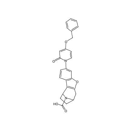 O=C(O)N1C2CCC1c1c(oc3cc(-n4ccc(OCc5ccccc5)cc4=O)ccc13)C2